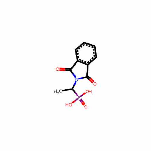 CC(N1C(=O)c2ccccc2C1=O)P(=O)(O)O